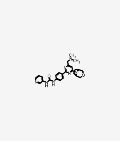 CN(C)Cc1cc(N2C3CCC2COC3)nc(-c2ccc(NC(=O)Nc3cccnc3)cc2)n1